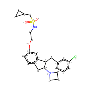 O=S(=O)(CC1CC1)NCCOc1ccc2c(c1)C(Cc1cccc(Cl)c1)C(N1CCC1)C2